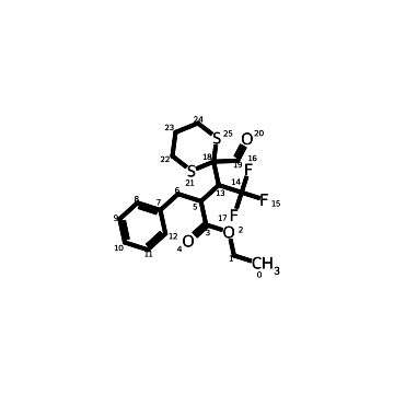 CCOC(=O)C(Cc1ccccc1)C(C(F)(F)F)C1(C=O)SCCCS1